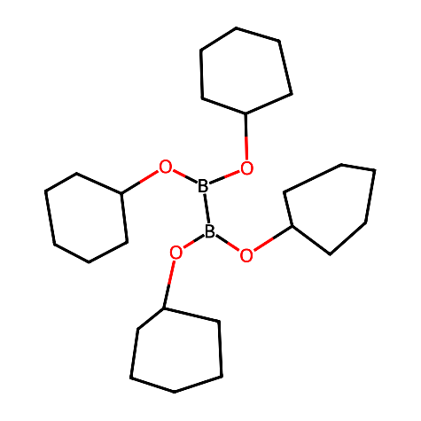 C1CCC(OB(OC2CCCCC2)B(OC2CCCCC2)OC2CCCCC2)CC1